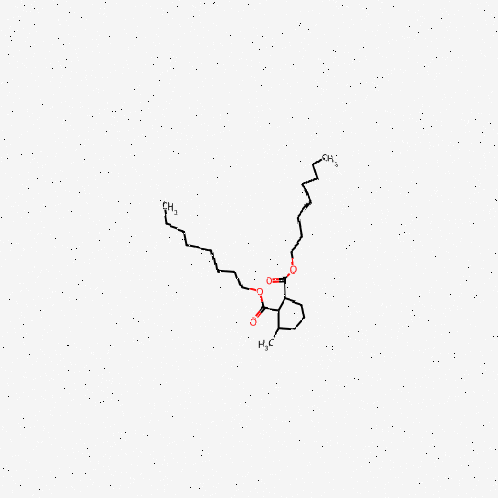 CCCCCCCCOC(=O)C1CCCC(C)C1C(=O)OCCCCCCCC